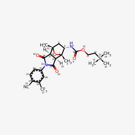 C[C@@]12O[C@@](C)(C[C@@H]1NC(=O)OCC[Si](C)(C)C)[C@@H]1C(=O)N(c3ccc(C#N)c(C(F)(F)F)c3)C(=O)[C@@H]12